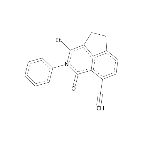 C#Cc1ccc2c3c(c(CC)n(-c4ccccc4)c(=O)c13)CC2